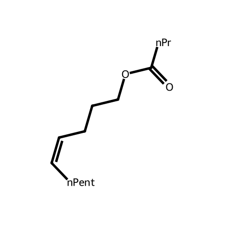 CCCCC/C=C\CCCOC(=O)CCC